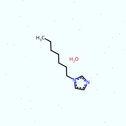 CCCCCCCn1ccnc1.O